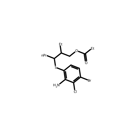 CCCC(Sc1ccc(Br)c(Cl)c1N)C(CC)COC(=O)CC